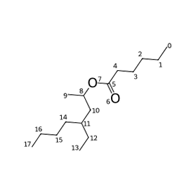 CCCCCC(=O)OC(C)CC(CC)CCCC